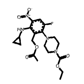 CCOC(=O)N1CCN(c2c(F)cc([N+](=O)[O-])c(NC3CC3)c2COC(C)=O)CC1